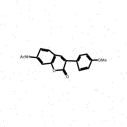 COc1ccc(-c2cc3ccc(NC(C)=O)cc3oc2=O)cc1